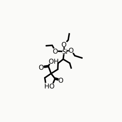 CCO[Si](OCC)(OCC)C(CC)CCC(CC)(C(=O)O)C(=O)O